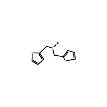 [CH2]C(=O)N(Cc1cccs1)Cc1cccs1